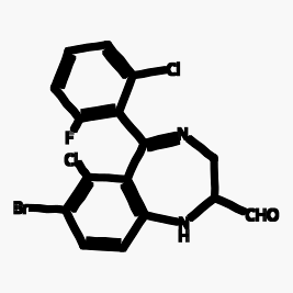 O=CC1CN=C(c2c(F)cccc2Cl)c2c(ccc(Br)c2Cl)N1